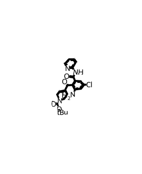 CC(C)(C)OC(=O)N1CC=C(C(=O)c2c(N)cc(Cl)cc2C(=O)Nc2ccccn2)CC1